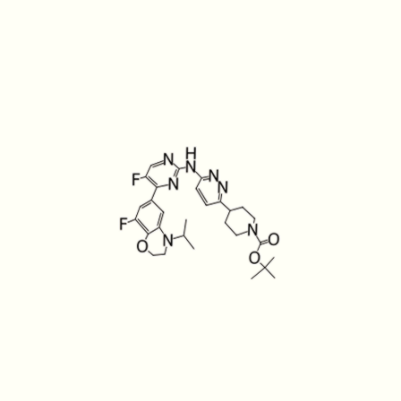 CC(C)N1CCOc2c(F)cc(-c3nc(Nc4ccc(C5CCN(C(=O)OC(C)(C)C)CC5)nn4)ncc3F)cc21